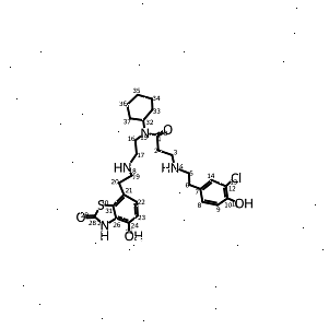 O=C(CCNCCc1ccc(O)c(Cl)c1)N(CCNCCc1ccc(O)c2[nH]c(=O)sc12)C1CCCCC1